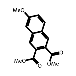 COC(=O)c1cc2ccc(OC)cc2cc1C(=O)OC